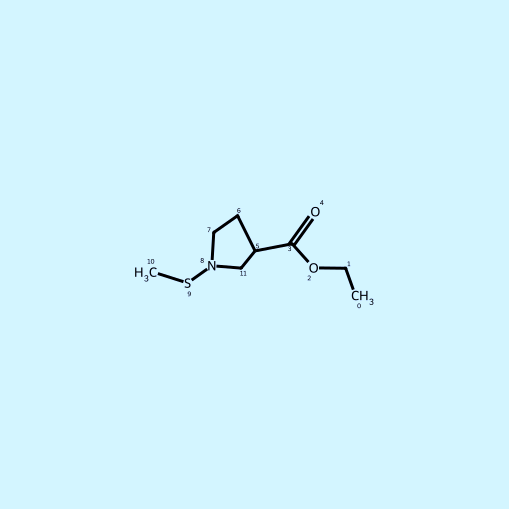 CCOC(=O)C1CCN(SC)C1